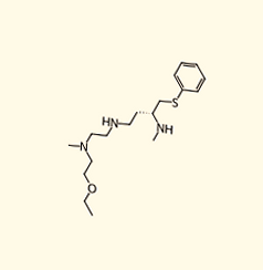 CCOCCN(C)CCNCC[C@H](CSc1ccccc1)NC